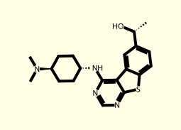 C[C@@H](O)c1ccc2sc3ncnc(N[C@H]4CC[C@H](N(C)C)CC4)c3c2c1